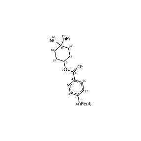 CCCCCc1ccc(C(=O)OC2CCC(C#N)(CCC)CC2)cc1